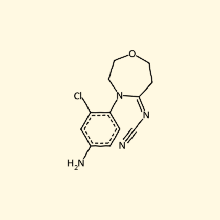 N#C/N=C1/CCOCCN1c1ccc(N)cc1Cl